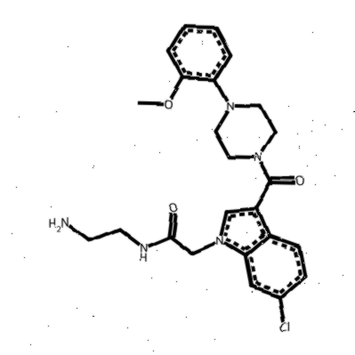 COc1ccccc1N1CCN(C(=O)c2cn(CC(=O)NCCN)c3cc(Cl)ccc23)CC1